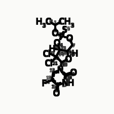 CC(C)O[P@]1(=S)OC[C@H]2O[C@@H](n3cc(F)c(=O)[nH]c3=O)C(Cl)(Cl)[C@@H]2O1